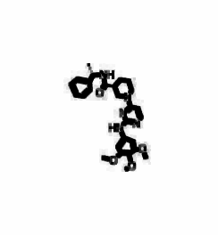 COc1cc(Nc2nccc(N3CCC[C@H](C(=O)N[C@@H](C)c4ccccc4)C3)n2)cc(OC)c1OC